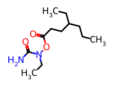 CCCC(CC)CCC(=O)ON(CC)C(N)=O